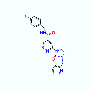 O=C(NCc1ccc(F)cc1)c1ccnc(N2CCN(Cc3ccccn3)C2=O)c1